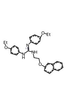 CCOc1ccc(/N=C(\NCCOc2ccc3ccccc3c2)Nc2ccc(OCC)cc2)cc1